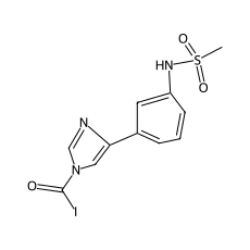 CS(=O)(=O)Nc1cccc(-c2cn(C(=O)I)cn2)c1